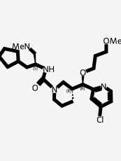 CNC[C@H](CC1CCCC1)NC(=O)N1CCC[C@@H]([C@@H](OCCCOC)c2cc(Cl)ccn2)C1